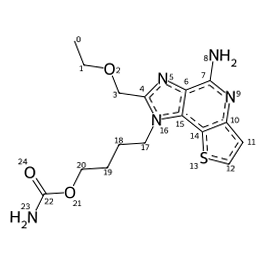 CCOCc1nc2c(N)nc3ccsc3c2n1CCCCOC(N)=O